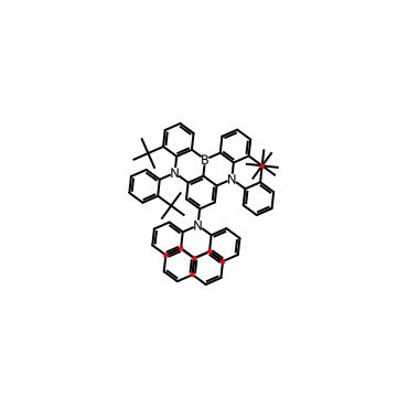 CC(C)(C)c1ccccc1N1c2cc(N(c3ccccc3-c3ccccc3)c3ccccc3-c3ccccc3)cc3c2B(c2cccc(C(C)(C)C)c21)c1cccc(C(C)(C)C)c1N3c1ccccc1C(C)(C)C